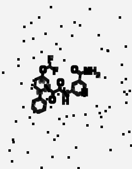 NC(=O)c1cncc(NC(=O)C(=O)N2C[C@H](OC(F)F)CC[C@@H]2c2ccccc2)c1